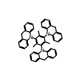 Cc1c(N2c3ccccc3Cc3ccccc32)c(C)c(N2c3ccccc3Cc3ccccc32)c(C)c1N1c2ccccc2Cc2ccccc21